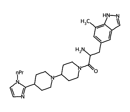 CCCn1ccnc1C1CCN(C2CCN(C(=O)C(N)Cc3cc(C)c4[nH]ncc4c3)CC2)CC1